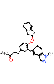 COC(=O)CCc1ccc(OC2Cc3ccccc3C2)c(-c2ccc3c(cnn3C)c2)c1